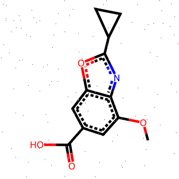 COc1cc(C(=O)O)cc2oc(C3CC3)nc12